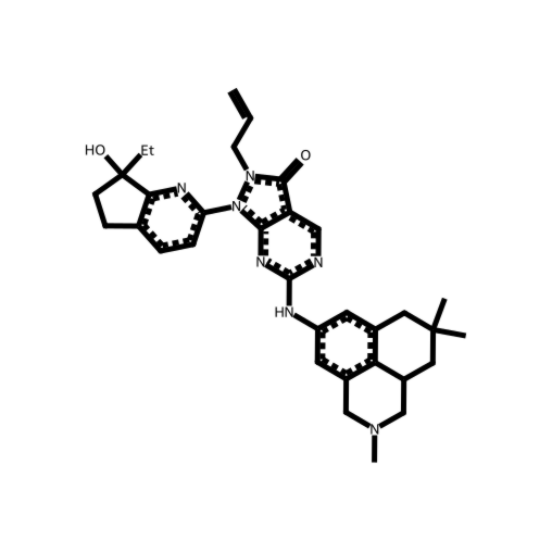 C=CCn1c(=O)c2cnc(Nc3cc4c5c(c3)CC(C)(C)CC5CN(C)C4)nc2n1-c1ccc2c(n1)C(O)(CC)CC2